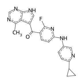 Cc1ncnc2[nH]cc(C(=O)c3ccc(Nc4ccc(C5CC5)nc4)nc3F)c12